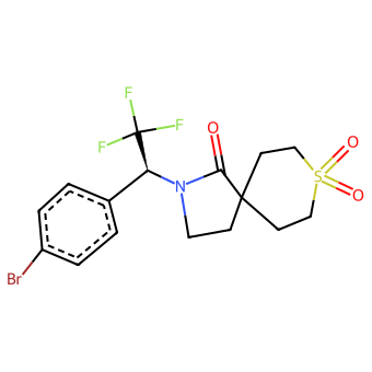 O=C1N([C@@H](c2ccc(Br)cc2)C(F)(F)F)CCC12CCS(=O)(=O)CC2